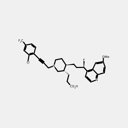 COc1ccc2nccc([C@H](F)CC[C@@H]3CCN(CC#Cc4ccc(C(F)(F)F)cc4Cl)C[C@H]3CCC(=O)O)c2c1